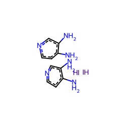 I.I.Nc1ccncc1N.Nc1ccncc1N